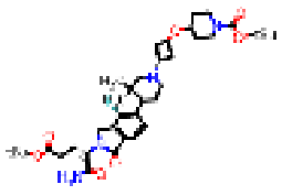 CC(C)(C)OC(=O)CC[C@@H](C(N)=O)N1Cc2c(ccc(C3CCN([C@H]4C[C@H](OC5CCN(C(=O)OC(C)(C)C)CC5)C4)CC3(C)C)c2F)C1=O